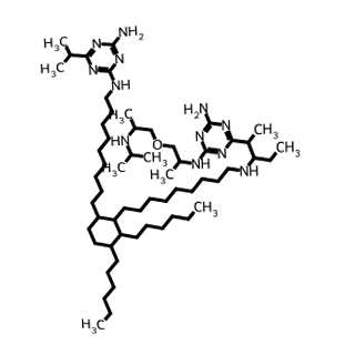 CCCCCCC1CCC(CCCCCCCCCNc2nc(N)nc(C(C)C)n2)C(CCCCCCCCCNC(CC)C(C)c2nc(N)nc(NC(C)COCC(C)NC(C)C)n2)C1CCCCCC